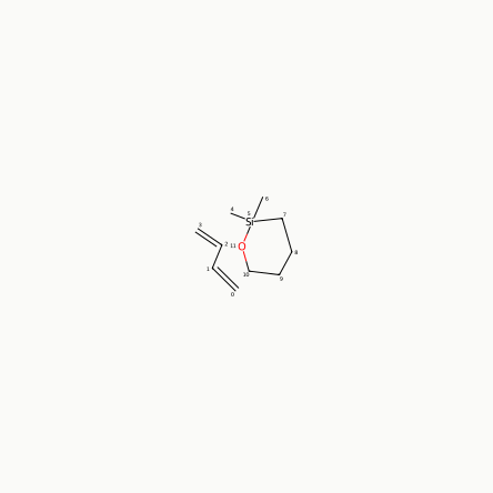 C=CC=C.C[Si]1(C)CCCCO1